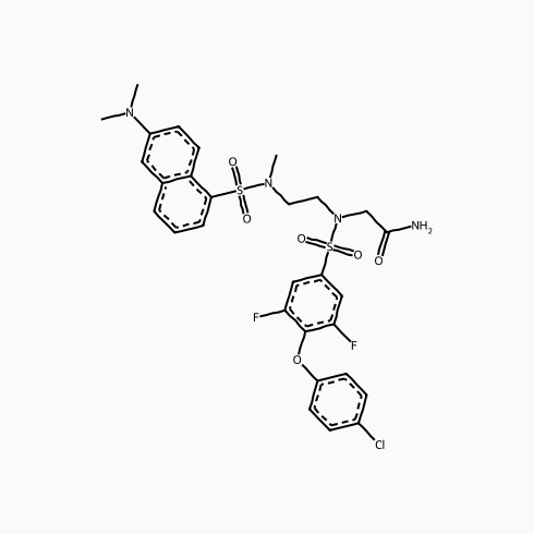 CN(C)c1ccc2c(S(=O)(=O)N(C)CCN(CC(N)=O)S(=O)(=O)c3cc(F)c(Oc4ccc(Cl)cc4)c(F)c3)cccc2c1